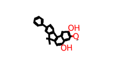 COc1cc2c(O)cc3c(c2cc1O)-c1ccc(-c2ccccc2)cc1C3(C)C